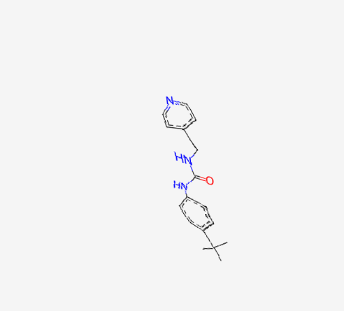 CC(C)(C)c1ccc(NC(=O)NCc2ccncc2)cc1